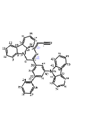 C#C/C=C\C=C(/Cn1c2ccccc2c2ccccc21)c1cc(-c2ccccc2)cc(-n2c3ccccc3c3ccccc32)c1